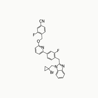 N#Cc1ccc(COc2cccc(-c3ccc(Cc4nc5ccccc5n4CC4(Br)CC4)c(F)c3)n2)c(F)c1